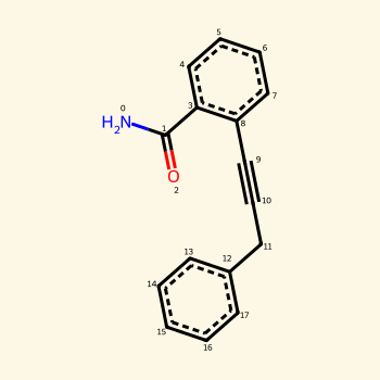 NC(=O)c1ccccc1C#CCc1ccccc1